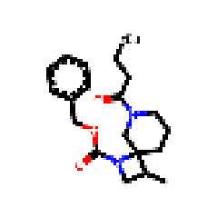 CC1CN(C(=O)OCc2ccccc2)C12CCCN(C(=O)CCC(C)(C)C)C2